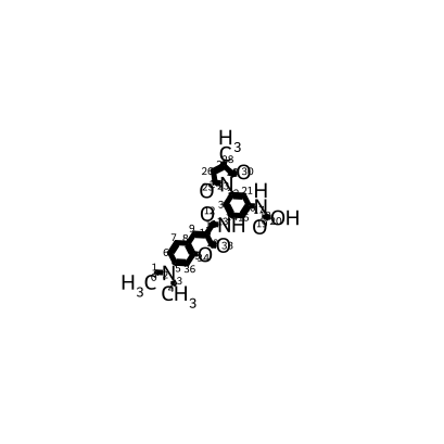 CCN(CC)c1ccc2cc(C(=O)Nc3cc(NC(=O)O)cc(N4C(=O)C=C(C)C4=O)c3)c(=O)oc2c1